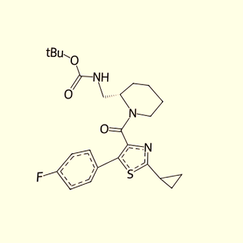 CC(C)(C)OC(=O)NC[C@@H]1CCCCN1C(=O)c1nc(C2CC2)sc1-c1ccc(F)cc1